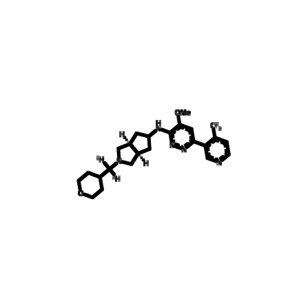 [2H]C([2H])(C1CCOCC1)N1C[C@H]2CC(Nc3nnc(-c4cnccc4C(F)(F)F)cc3OC)C[C@H]2C1